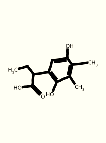 CCC(C(=O)O)c1cc(O)c(C)c(C)c1O